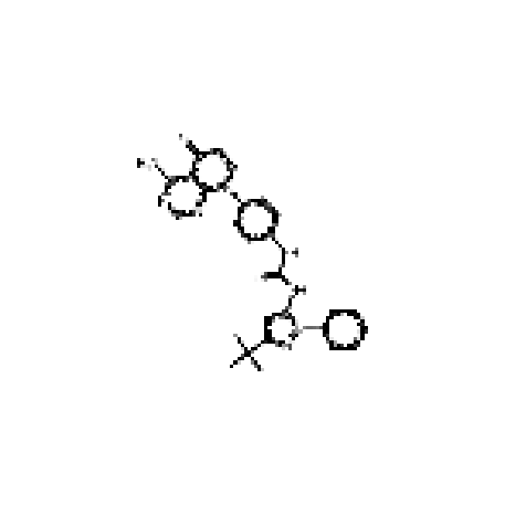 CC(C)(C)c1cc(NC(=O)Nc2ccc(-n3ccc(=O)c4c(N)ncnc43)cc2)n(-c2ccccc2)n1